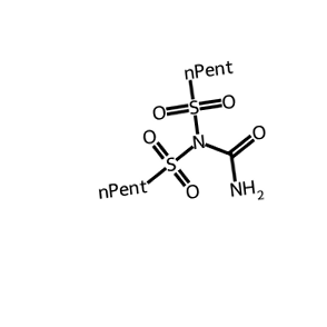 CCCCCS(=O)(=O)N(C(N)=O)S(=O)(=O)CCCCC